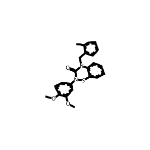 COc1ccc(N2Sc3ccccc3N(Cc3ccccc3C)C2=O)cc1OC